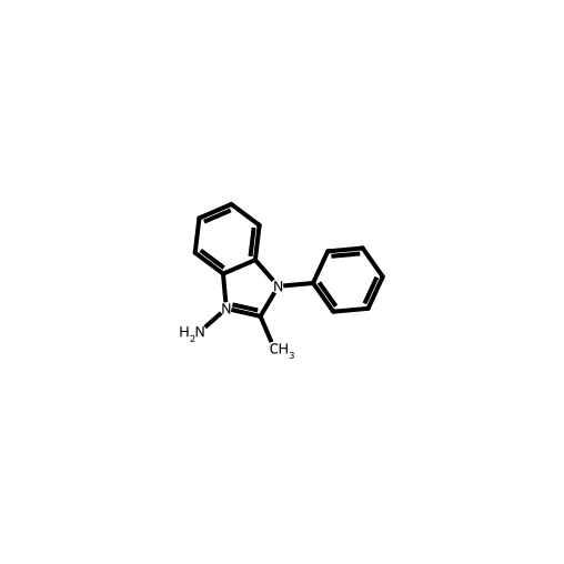 Cc1n(-c2ccccc2)c2ccccc2[n+]1N